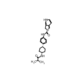 CC(C)C(=O)N[C@H]1CC[C@H](c2ccc(NC(=O)N3C=C4C=CNC=C4C3)cc2)CC1